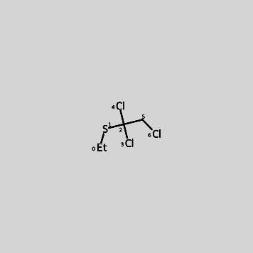 CCSC(Cl)(Cl)CCl